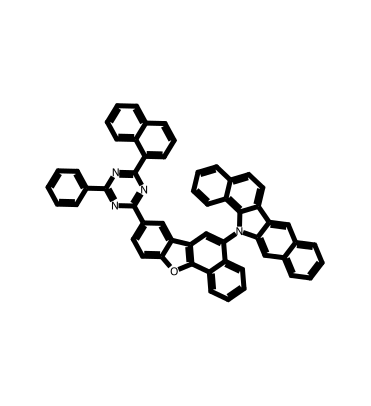 c1ccc(-c2nc(-c3ccc4oc5c6ccccc6c(-n6c7cc8ccccc8cc7c7ccc8ccccc8c76)cc5c4c3)nc(-c3cccc4ccccc34)n2)cc1